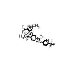 Cn1cc(S(=O)(=O)C(C)(F)C2CCN(C(=O)Nc3ccc(C(F)(F)F)nc3)CC2)c(C(F)F)n1